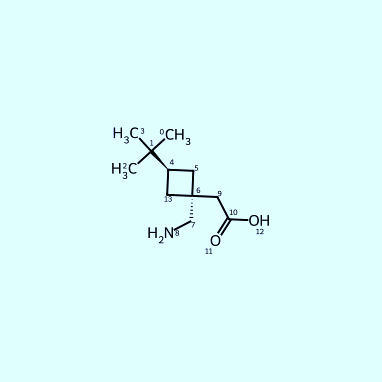 CC(C)(C)[C@H]1C[C@@](CN)(CC(=O)O)C1